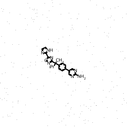 CC(C)C(C)(c1ccc(-c2cnc(N)nc2)cc1)c1noc(-c2ncc[nH]2)n1